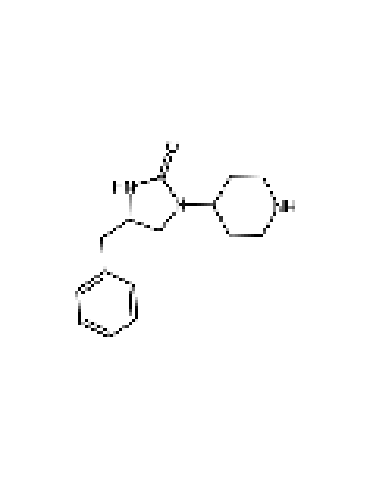 O=C1NC(Cc2ccccc2)CN1C1CCNCC1